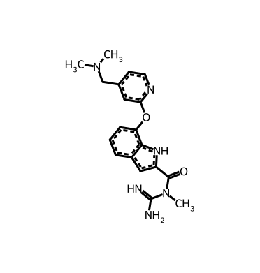 CN(C)Cc1ccnc(Oc2cccc3cc(C(=O)N(C)C(=N)N)[nH]c23)c1